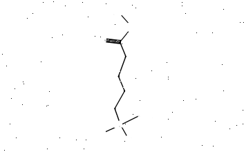 COC(=O)CCCC[Si](C)(C)Cl